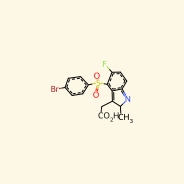 CC1N=c2ccc(F)c(S(=O)(=O)c3ccc(Br)cc3)c2=C1CC(=O)O